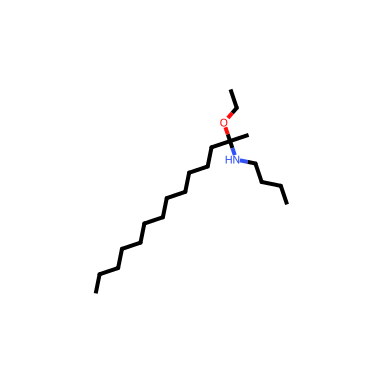 CCCCCCCCCCCCC(C)(NCCCC)OCC